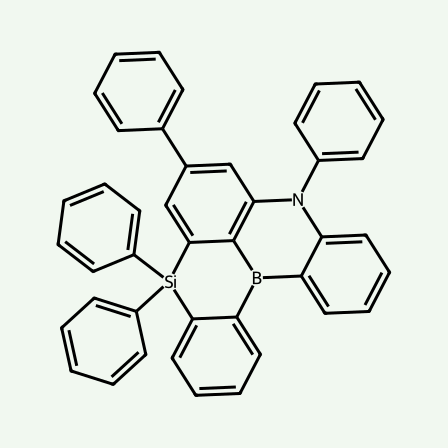 c1ccc(-c2cc3c4c(c2)[Si](c2ccccc2)(c2ccccc2)c2ccccc2B4c2ccccc2N3c2ccccc2)cc1